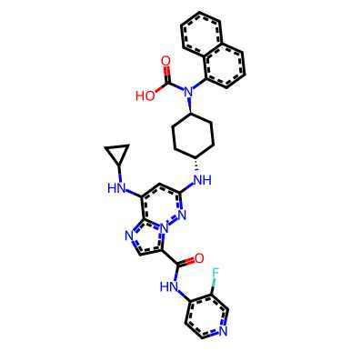 O=C(Nc1ccncc1F)c1cnc2c(NC3CC3)cc(N[C@H]3CC[C@H](N(C(=O)O)c4cccc5ccccc45)CC3)nn12